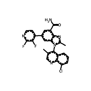 Cc1cnc2c(Cl)cccc2c1-n1c(C)nc2c(C(N)=O)cc(-c3ccnc(F)c3F)cc21